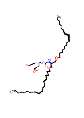 CCCCCCCC/C=C\CCCCCCCCOCC(COCCCCCCCC/C=C\CCCCCCCC)NC(=S)OCCN(CCO)CCO